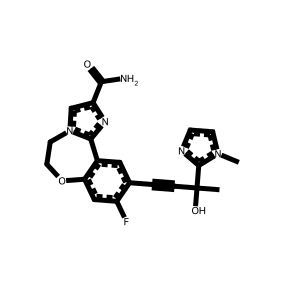 Cn1ccnc1C(C)(O)C#Cc1cc2c(cc1F)OCCn1cc(C(N)=O)nc1-2